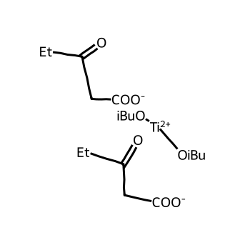 CC(C)C[O][Ti+2][O]CC(C)C.CCC(=O)CC(=O)[O-].CCC(=O)CC(=O)[O-]